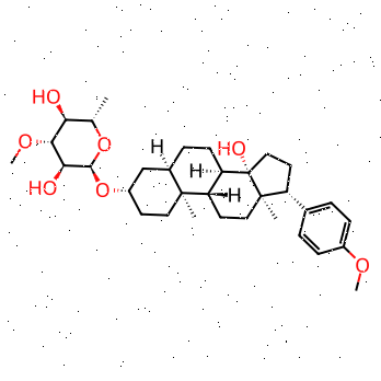 COc1ccc([C@H]2CC[C@]3(O)[C@@H]4CC[C@@H]5C[C@@H](O[C@@H]6O[C@@H](C)[C@H](O)[C@@H](OC)[C@@H]6O)CC[C@]5(C)[C@H]4CC[C@]23C)cc1